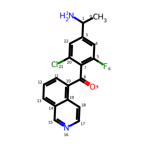 CC(N)c1cc(F)c(C(=O)c2cccc3cnccc23)c(Cl)c1